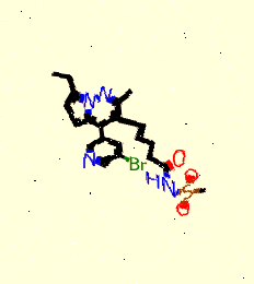 CCc1ccc2c(-c3cncc(Br)c3)c(CCCCC(=O)NS(C)(=O)=O)c(C)nn12